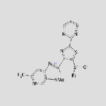 CC[S+]([O-])c1sc(-c2ncccn2)nc1/C(C)=N/c1cc(C(F)(F)F)ncc1NC